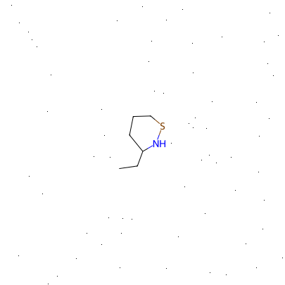 CCC1CCCSN1